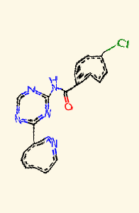 O=C(Nc1ncnc(-c2ccccn2)n1)c1ccc(Cl)cc1